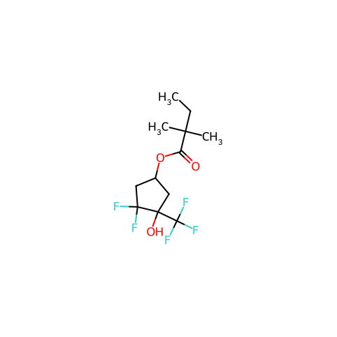 CCC(C)(C)C(=O)OC1CC(F)(F)C(O)(C(F)(F)F)C1